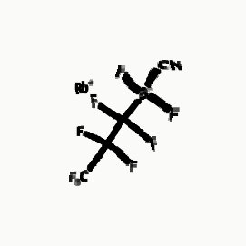 N#C[B-](F)(F)C(F)(F)C(F)(F)C(F)(F)F.[Rb+]